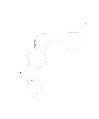 CC(O)(c1ccc2c(c1)ncn2-c1ccnc(N)n1)c1nccs1